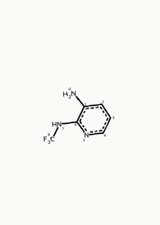 Nc1cccnc1NC(F)(F)F